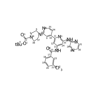 CC(C)(C)OC(=O)N1CCN(c2cc(-c3cc(NC(=O)c4cccc(C(F)(F)F)c4)cc(Nc4cnccn4)n3)ccn2)CC1